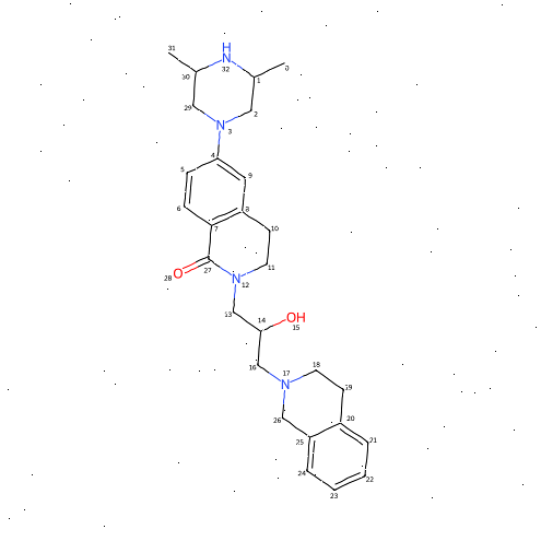 CC1CN(c2ccc3c(c2)CCN(CC(O)CN2CCc4ccccc4C2)C3=O)CC(C)N1